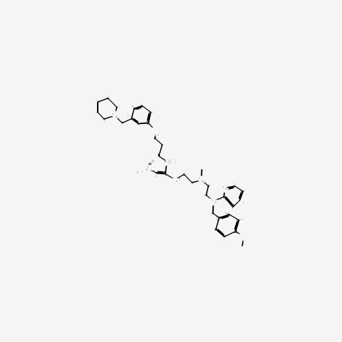 COc1ccc(CN(CCN(C)CCNC(=C[N+](=O)[O-])NCCCOc2cccc(CN3CCCCC3)c2)c2ccccn2)cc1